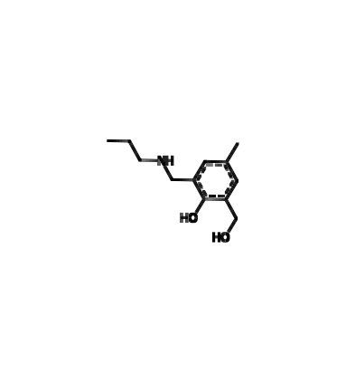 CCCNCc1cc(C)cc(CO)c1O